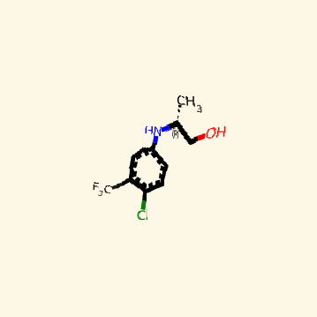 C[C@H](CO)Nc1ccc(Cl)c(C(F)(F)F)c1